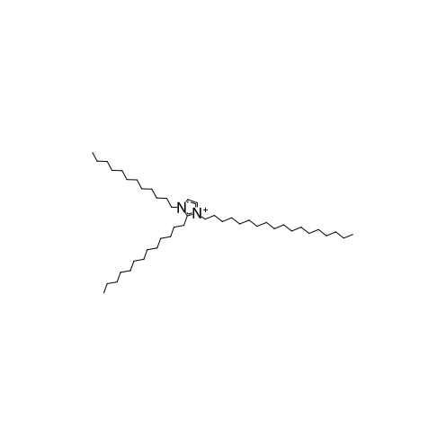 CCCCCCCCCCCCCCCCCC[n+]1ccn(CCCCCCCCCCCC)c1CCCCCCCCCCCCC